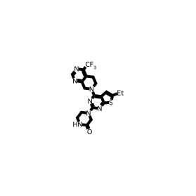 CCc1cc2c(N3CCc4c(ncnc4C(F)(F)F)C3)nc(N3CCNC(=O)C3)nc2s1